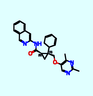 Cc1ncc(OC[C@@]2(C3C=CC=CC3)C[C@H]2C(=O)Nc2cc3ccccc3cn2)c(C)n1